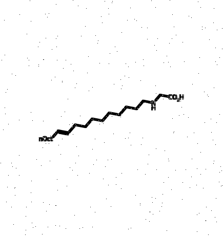 CCCCCCCCC=CCCCCCCCCCNCC(=O)O